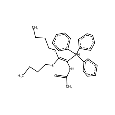 CCCCSC(SCCCC)=C(NC(C)=O)[PH](c1ccccc1)(c1ccccc1)c1ccccc1